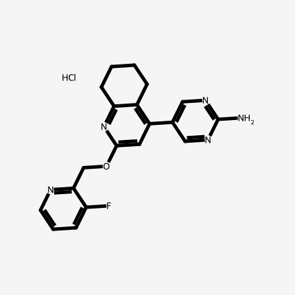 Cl.Nc1ncc(-c2cc(OCc3ncccc3F)nc3c2CCCC3)cn1